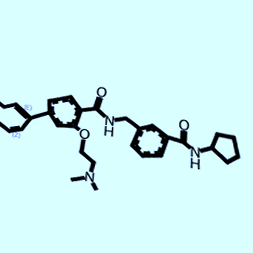 C/C=C\C(=C/CC)c1ccc(C(=O)NCc2cccc(C(=O)NC3CCCC3)c2)c(OCCN(C)C)c1